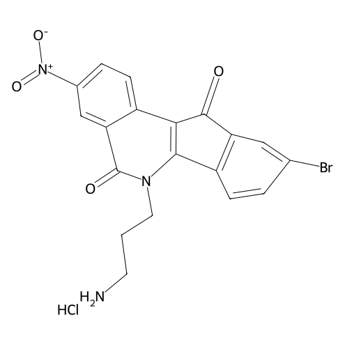 Cl.NCCCn1c2c(c3ccc([N+](=O)[O-])cc3c1=O)C(=O)c1cc(Br)ccc1-2